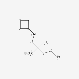 CCOC(=O)C(C)(CCC(C)C)CNC1CCC1